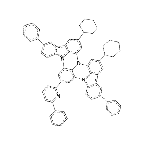 c1ccc(-c2ccc3c(c2)c2cc(C4CCCCC4)cc4c2n3-c2cc(-c3cccc(-c5ccccc5)n3)cc3c2B4c2cc(C4CCCCC4)cc4c5cc(-c6ccccc6)ccc5n-3c24)cc1